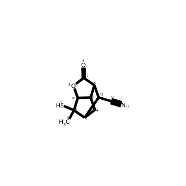 CC1(S)C2CC3C(C(=O)OC31)C2C#N